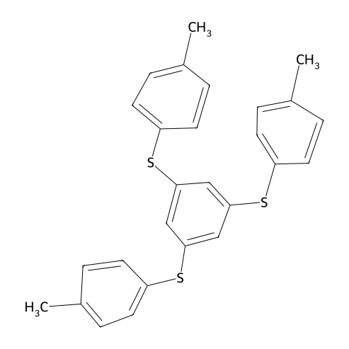 Cc1ccc(Sc2cc(Sc3ccc(C)cc3)cc(Sc3ccc(C)cc3)c2)cc1